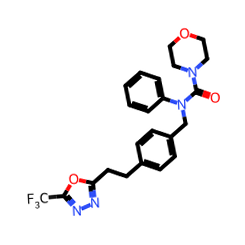 O=C(N1CCOCC1)N(Cc1ccc(CCc2nnc(C(F)(F)F)o2)cc1)c1ccccc1